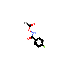 CCC(=O)ONC(=O)c1ccc(F)cc1